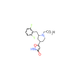 O=C(O)CN1CCC(c2cc(=O)[nH]o2)CC1Cc1c(F)cccc1F